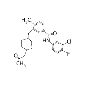 CC(=O)CC1CCC(Cc2cc(C(=O)Nc3ccc(F)c(Cl)c3)ccc2C)CC1